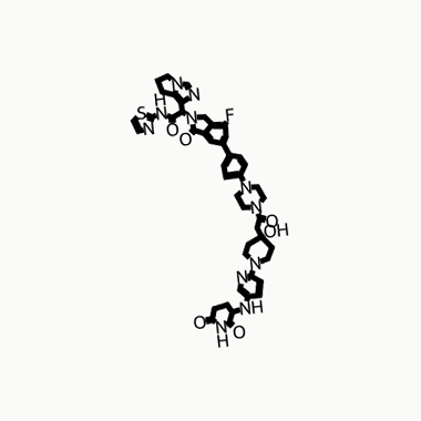 O=C1CCC(Nc2ccc(N3CCC(O)(CC(=O)N4CCN(c5ccc(-c6cc(F)c7c(c6)C(=O)N(C(C(=O)Nc6nccs6)c6ncn8c6CCC8)C7)cc5)CC4)CC3)nc2)C(=O)N1